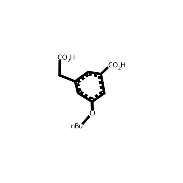 CCCCOc1cc(CC(=O)O)cc(C(=O)O)c1